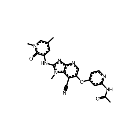 CC(=O)Nc1cc(Oc2cnc3nc(Nc4cc(C)cn(C)c4=O)n(C)c3c2C#N)ccn1